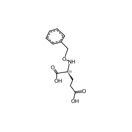 O=C(O)CC[C@H](NOCc1ccccc1)C(=O)O